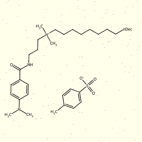 CCCCCCCCCCCCCCCCCC[N+](C)(C)CCCNC(=O)c1ccc(N(C)C)cc1.Cc1ccc(S(=O)(=O)[O-])cc1